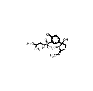 CN=C1SCC(O)(c2ccc(Cl)c(S(=O)(=O)NCC(C)OC)c2)N1C